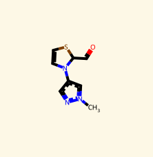 Cn1cc(N2C=CSC2C=O)cn1